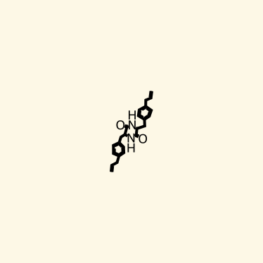 C=CCc1ccc(CC2NC(=O)C(Cc3ccc(CC=C)cc3)NC2=O)cc1